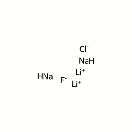 [Cl-].[F-].[Li+].[Li+].[NaH].[NaH]